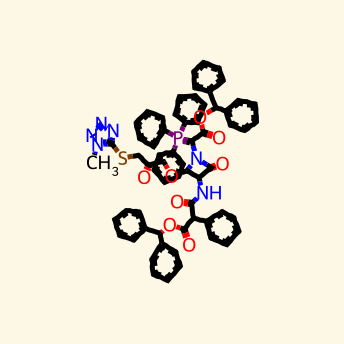 Cn1nnnc1SCC(=O)COC1C(NC(=O)C(C(=O)OC(c2ccccc2)c2ccccc2)c2ccccc2)C(=O)N1C(C(=O)OC(c1ccccc1)c1ccccc1)=P(c1ccccc1)(c1ccccc1)c1ccccc1